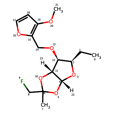 CC[C@H]1O[C@@H]2OC(C)(CF)O[C@@H]2[C@H]1OCc1occc1OC